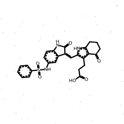 O=C(O)CCc1c(C=C2C(=O)Nc3ccc(NS(=O)(=O)c4ccccc4)cc32)[nH]c2c1C(=O)CCC2